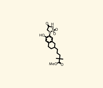 COC(=O)C(C)(C)CCCC1CCc2cc(O)c(N3CC(=O)NS3(=O)=O)cc2C1